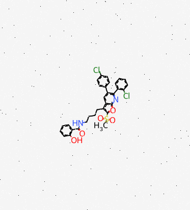 CS(=O)(=O)c1oc2nc(-c3ccccc3Cl)c(-c3ccc(Cl)cc3)cc2c1CCCCNC(=O)c1ccccc1O